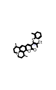 CC/C(C)=C(\SC1=C(C)CCC=C1)c1cc2cc3c4c(c2oc1=O)[C@@H](C)CCN4CC[C@H]3C